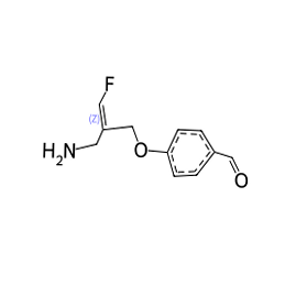 NC/C(=C/F)COc1ccc(C=O)cc1